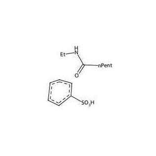 CCCCCC(=O)NCC.O=S(=O)(O)c1ccccc1